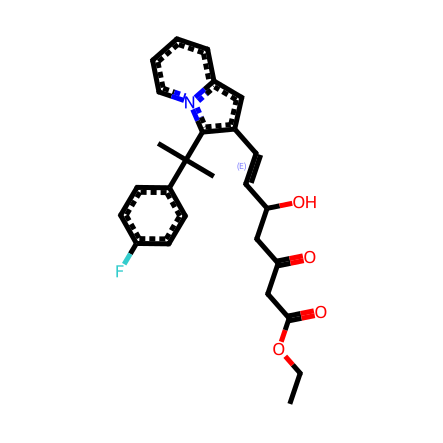 CCOC(=O)CC(=O)CC(O)/C=C/c1cc2ccccn2c1C(C)(C)c1ccc(F)cc1